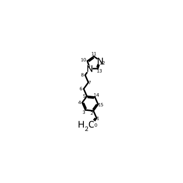 C=Cc1ccc(CCCn2ccnc2)cc1